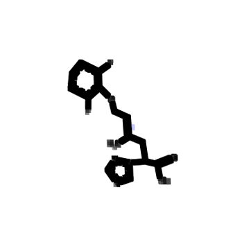 C/C(=C\COc1c(F)cccc1F)CC(C(=O)C(C)(C)C)n1cncn1